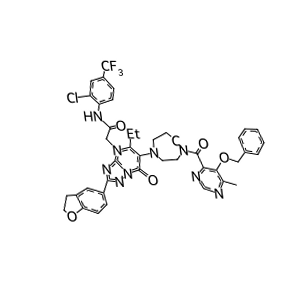 CCc1c(N2CCCN(C(=O)c3ncnc(C)c3OCc3ccccc3)CC2)c(=O)n2nc(-c3ccc4c(c3)CCO4)nc2n1CC(=O)Nc1ccc(C(F)(F)F)cc1Cl